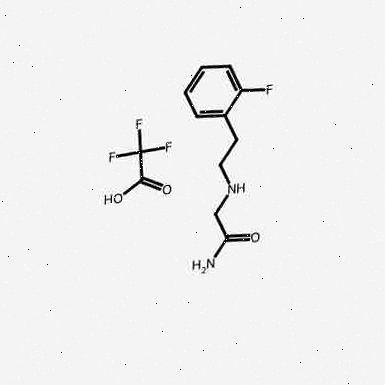 NC(=O)CNCCc1ccccc1F.O=C(O)C(F)(F)F